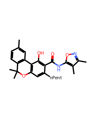 CCCCCc1cc2c(c(O)c1C(=O)Nc1onc(C)c1C)-c1cc(C)ccc1C(C)(C)O2